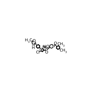 Cc1ccc(C(=O)N2CCC(O)(Cn3cnc4c(cc(Cl)n4-c4ccc([C@@H]5CO[C@@H](C)CN5)cc4)c3=O)CC2)c(C)c1